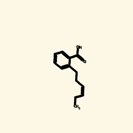 CC/C=C\CCc1ccccc1C(=O)O